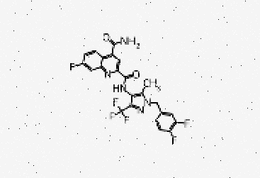 Cc1c(NC(=O)c2cc(C(N)=O)c3ccc(F)cc3n2)c(C(F)(F)F)nn1Cc1ccc(F)c(F)c1